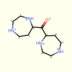 O=C(C1CCNCCN1)C1CCNCCN1